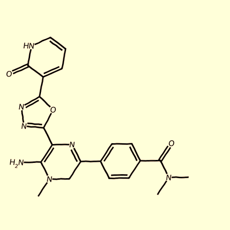 CN(C)C(=O)c1ccc(C2=NC(c3nnc(-c4ccc[nH]c4=O)o3)=C(N)N(C)C2)cc1